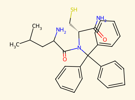 CC(C)CC(N)C(=O)N([C@H](CS)C(N)=O)C(c1ccccc1)(c1ccccc1)c1ccccc1